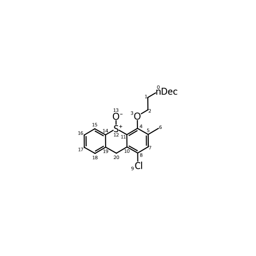 CCCCCCCCCCCCOc1c(C)cc(Cl)c2c1[S+]([O-])c1ccccc1C2